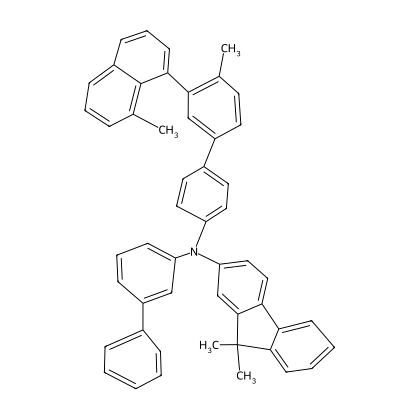 Cc1ccc(-c2ccc(N(c3cccc(-c4ccccc4)c3)c3ccc4c(c3)C(C)(C)c3ccccc3-4)cc2)cc1-c1cccc2cccc(C)c12